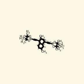 Cc1ccc2c(C#CB3OC(C)(C)C(C)(C)O3)c(C)cc(C#CB3OC(C)(C)C(C)(C)O3)c2c1